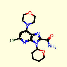 NC(=O)c1nc2c(N3CCOCC3)cc(Cl)nc2n1C1CCCCO1